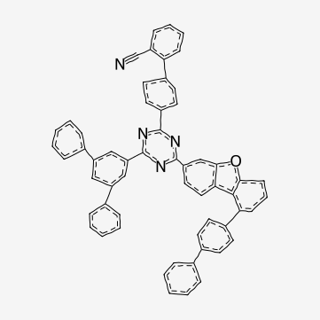 N#Cc1ccccc1-c1ccc(-c2nc(-c3cc(-c4ccccc4)cc(-c4ccccc4)c3)nc(-c3ccc4c(c3)oc3cccc(-c5ccc(-c6ccccc6)cc5)c34)n2)cc1